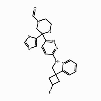 O=CN1CCOC(c2ccc(NCC3(c4ccccn4)CC(F)C3)nn2)(c2cncs2)C1